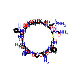 CCCC[C@H]1C(=O)N(C)[C@@H](CCCC)C(=O)N[C@@H](CCCNC(=N)N)C(=O)N[C@H](C(=O)NCC(N)=O)CSCC(=O)N[C@@H](Cc2ccccc2)C(=O)N(C)[C@@H](C)C(=O)N[C@@H](CC(N)=O)C(=O)N2CCCC2C(=O)N[C@@H](Cc2cnc[nH]2)C(=O)N[C@@H](CC(C)C)C(=O)N(C)CC(=O)N[C@@H](Cc2c[nH]c3ccccc23)C(=O)N[C@@H](CO)C(=O)N[C@@H](C)C(=O)N1C